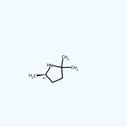 C[C@@H]1CCC(C)(C)N1